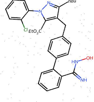 CCCCc1nn(-c2ccccc2Cl)c(C(=O)OCC)c1Cc1ccc(-c2ccccc2C(=N)NO)cc1